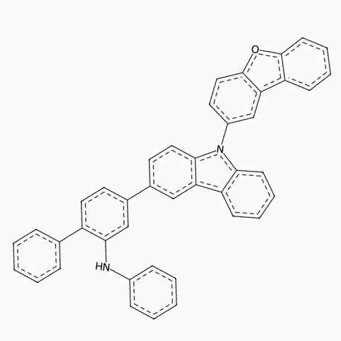 c1ccc(Nc2cc(-c3ccc4c(c3)c3ccccc3n4-c3ccc4oc5ccccc5c4c3)ccc2-c2ccccc2)cc1